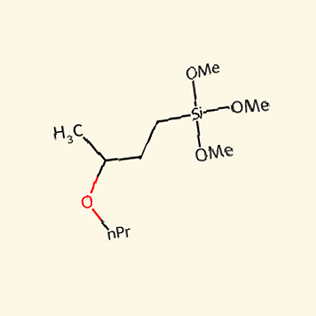 CCCOC(C)CC[Si](OC)(OC)OC